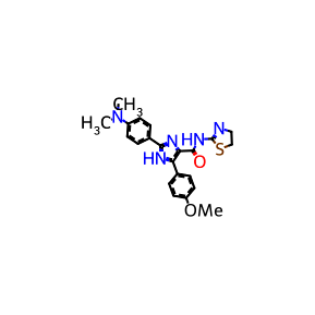 COc1ccc(-c2[nH]c(-c3ccc(N(C)C)cc3)nc2C(=O)NC2=NCCS2)cc1